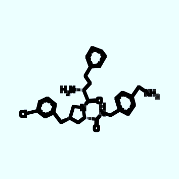 NCc1ccc(CNC(=O)[C@@H]2C[C@@H](Cc3cccc(Cl)c3)CN2C(=O)[C@H](N)CCc2ccccc2)cc1